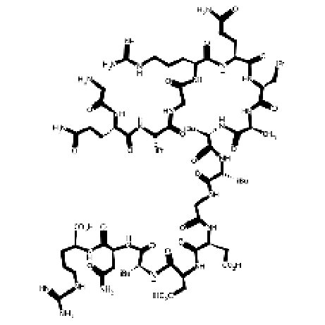 CC[C@H](C)[C@H](NC(=O)[C@H](C)NC(=O)[C@H](CC(C)C)NC(=O)[C@H](CCC(N)=O)NC(=O)[C@H](CCCNC(=N)N)NC(=O)CNC(=O)[C@@H](NC(=O)[C@H](CCC(N)=O)NC(=O)CN)C(C)C)C(=O)N[C@H](C(=O)NCC(=O)N[C@@H](CC(=O)O)C(=O)N[C@@H](CC(=O)O)C(=O)N[C@H](C(=O)N[C@@H](CC(N)=O)C(=O)N[C@@H](CCCNC(=N)N)C(=O)O)[C@@H](C)CC)[C@@H](C)CC